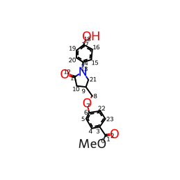 COC(=O)c1ccc(OCC2CC(=O)N(c3ccc(O)cc3)C2)cc1